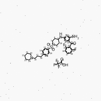 Nc1nc(NC2CCN(S(=O)(=O)c3ccc(CCCN4CCCCC4)nc3)CC2)sc1C(=O)c1c(F)cccc1F.O=C(O)C(F)(F)F